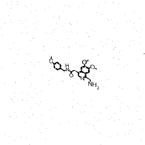 COc1ccc(CNC(=O)Cc2cnc(CN)c3cc(OC)c(OC)cc23)cc1